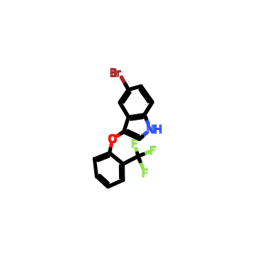 FC(F)(F)c1ccccc1Oc1c[nH]c2ccc(Br)cc12